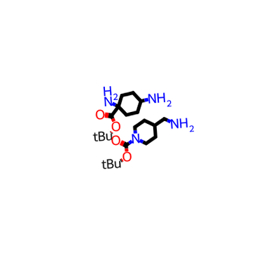 CC(C)(C)OC(=O)C1(N)CCC(N)CC1.CC(C)(C)OC(=O)N1CCC(CN)CC1